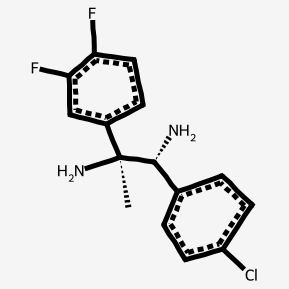 C[C@](N)(c1ccc(F)c(F)c1)[C@H](N)c1ccc(Cl)cc1